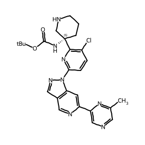 Cc1cncc(-c2cc3c(cn2)cnn3-c2ccc(Cl)c([C@]3(NC(=O)OC(C)(C)C)CCCNC3)n2)n1